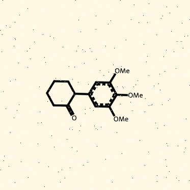 COc1cc(C2CCCCC2=O)cc(OC)c1OC